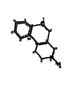 [2H]N1CCC2=C(COc3ccccc32)C1